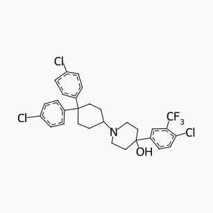 OC1(c2ccc(Cl)c(C(F)(F)F)c2)CCN(C2CCC(c3ccc(Cl)cc3)(c3ccc(Cl)cc3)CC2)CC1